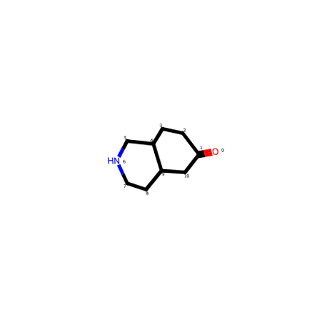 O=C1CCC2CNCCC2C1